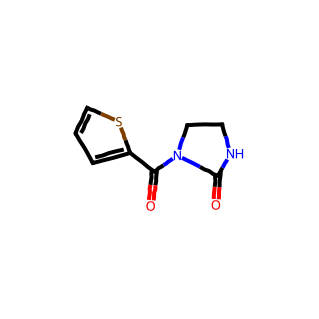 O=C1NCCN1C(=O)c1cccs1